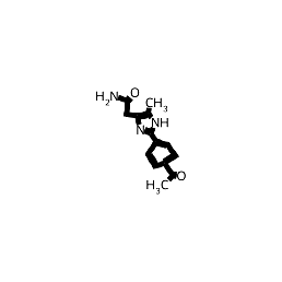 CC(=O)c1ccc(-c2nc(CC(N)=O)c(C)[nH]2)cc1